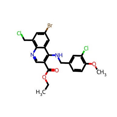 CCOC(=O)c1cnc2c(CCl)cc(Br)cc2c1NCc1ccc(OC)c(Cl)c1